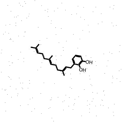 CC(C)=CCC/C(C)=C/CC/C(C)=C/Cc1cccc(O)c1O